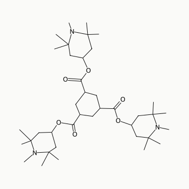 CN1C(C)(C)CC(OC(=O)C2CC(C(=O)OC3CC(C)(C)N(C)C(C)(C)C3)CC(C(=O)OC3CC(C)(C)N(C)C(C)(C)C3)C2)CC1(C)C